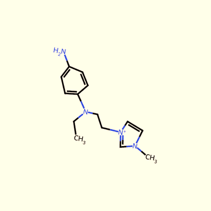 CCN(CC[n+]1ccn(C)c1)c1ccc(N)cc1